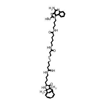 CCCCc1nc2c(N)nc3ccccc3c2n1CCCCNC(=O)CCCCCNC(=O)CCSSCCCC(=N)NCCCCC1NC2(C)/C3=C/C=C\C=C/C=C(C=C3)/C2(C)C1=O